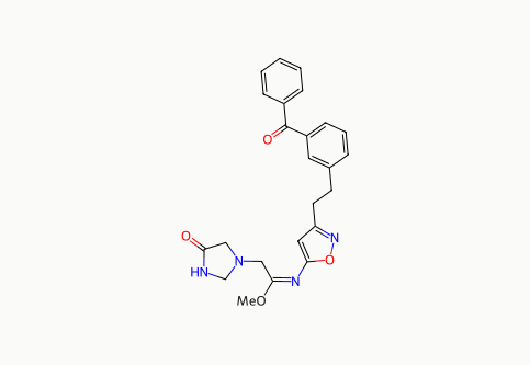 COC(CN1CNC(=O)C1)=Nc1cc(CCc2cccc(C(=O)c3ccccc3)c2)no1